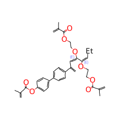 C=C(C)C(=O)OCCOC(=C/CC)/C(=C\C(=C)c1ccc(-c2ccc(OC(=O)C(=C)C)cc2)cc1)OCCOC(=O)C(=C)C